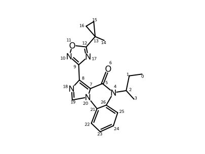 CCC(C)n1c(=O)c2c(-c3noc(C4(C)CC4)n3)ncn2c2ccccc21